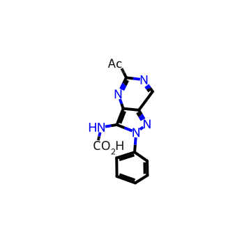 CC(=O)c1ncc2nn(-c3ccccc3)c(NC(=O)O)c2n1